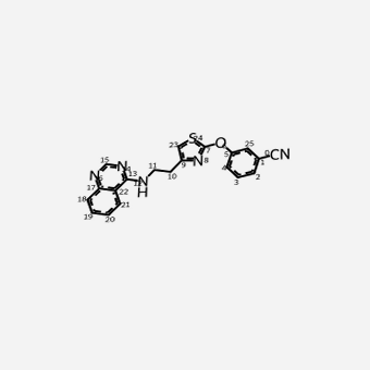 N#Cc1cccc(Oc2nc(CCNc3ncnc4ccccc34)cs2)c1